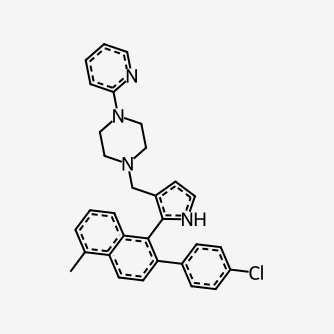 Cc1cccc2c(-c3[nH]ccc3CN3CCN(c4ccccn4)CC3)c(-c3ccc(Cl)cc3)ccc12